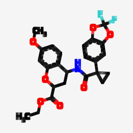 CCOC(=O)C1CC(NC(=O)C2(c3ccc4c(c3)OC(F)(F)O4)CC2)c2ccc(OC)cc2O1